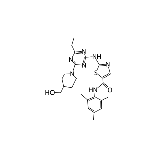 CCc1nc(Nc2ncc(C(=O)Nc3c(C)cc(C)cc3C)s2)nc(N2CCC(CO)CC2)n1